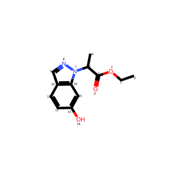 CCOC(=O)C(C)n1ncc2ccc(O)cc21